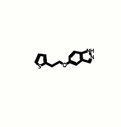 c1csc(CCOc2ccc3[nH]ncc3c2)c1